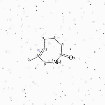 C/C1=C\CCCC(=O)NC1